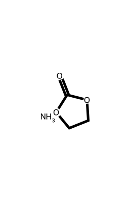 N.O=C1OCCO1